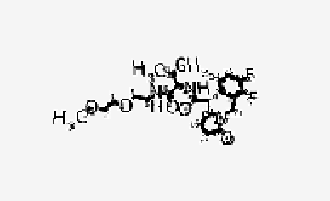 COCCOCCNC(=O)C(NC(=O)C[C@@H]1CCC(=O)N1Cc1cccc(F)c1F)C(C)C